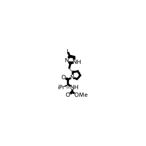 COC(=O)N[C@H](C(=O)N1CCC[C@H]1Cc1nc(I)c[nH]1)C(C)C